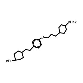 CCCCCCC1CCC(CCCOc2ccc(CCC3CCC(CCCC)CC3)cc2)CC1